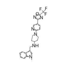 Cn1cc(CNC2CCN(c3ccc(-c4noc(C(F)(F)F)n4)cn3)CC2)c2ccccc21